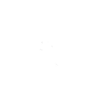 Cc1ncccc1-c1nc2c(C(=O)O)cccn2n1